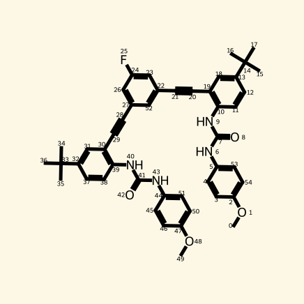 COc1ccc(NC(=O)Nc2ccc(C(C)(C)C)cc2C#Cc2cc(F)cc(C#Cc3cc(C(C)(C)C)ccc3NC(=O)Nc3ccc(OC)cc3)c2)cc1